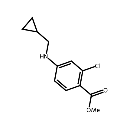 COC(=O)c1ccc(NCC2CC2)cc1Cl